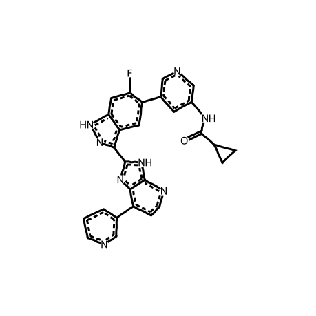 O=C(Nc1cncc(-c2cc3c(-c4nc5c(-c6cccnc6)ccnc5[nH]4)n[nH]c3cc2F)c1)C1CC1